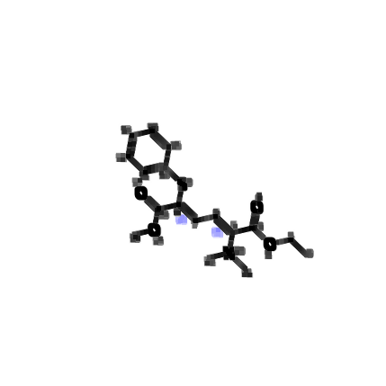 CCOC(=O)/C(=C/C=C(\Sc1ccccc1)C(=O)OC)N(C)C